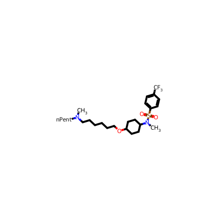 CCCCCN(C)CCCCCCOC1CCC(N(C)S(=O)(=O)c2ccc(C(F)(F)F)cc2)CC1